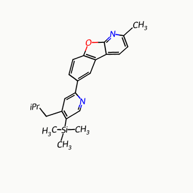 Cc1ccc2c(n1)oc1ccc(-c3cc(CC(C)C)c([Si](C)(C)C)cn3)cc12